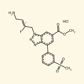 COC(=O)c1cc(-c2cccc(S(C)(=O)=O)c2)c2nnn(C/C(F)=C/CN)c2c1.Cl